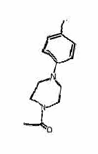 [CH2]c1ccc(N2CCN(C(C)=O)CC2)cc1